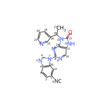 [C-]#[N+]c1ccc2ncn(-c3ncc4[nH]c(=O)n(C(C)c5cccnc5)c4n3)c2c1